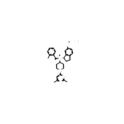 Cc1cc(N2CCC([N+](C)(C(=O)c3ccccc3C)[C@@H]3CCc4ccc(OC(=O)O)cc43)CC2)nc(C)n1